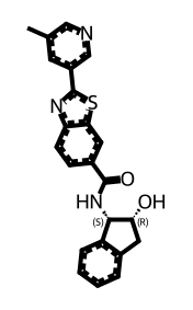 Cc1cncc(-c2nc3ccc(C(=O)N[C@H]4c5ccccc5C[C@H]4O)cc3s2)c1